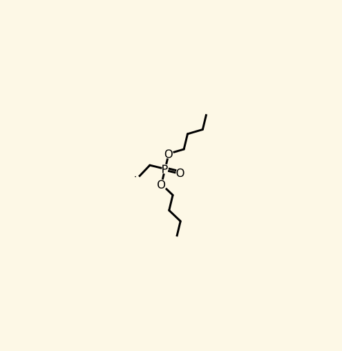 [CH2]CP(=O)(OCCCC)OCCCC